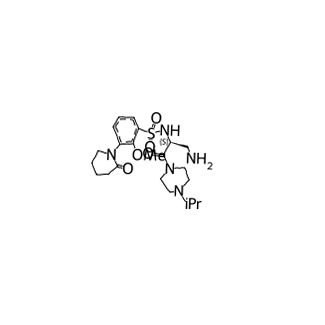 COc1c(N2CCCCC2=O)cccc1S(=O)(=O)N[C@@H](CN)C(=O)N1CCN(C(C)C)CC1